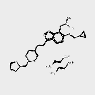 CN(C)Cc1c(OCC2CC2)ccc2c(CCC3CCN(CC4OCCO4)CC3)noc12.O=C(O)C=CC(=O)O.O=C(O)C=CC(=O)O